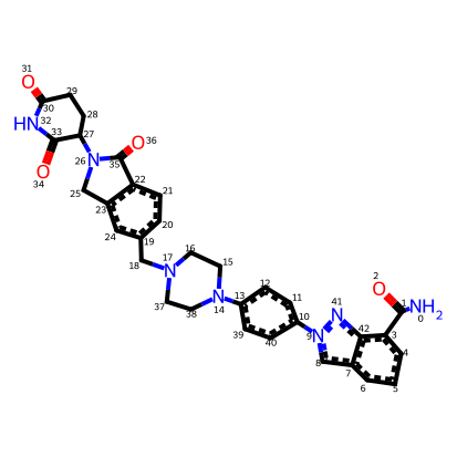 NC(=O)c1cccc2cn(-c3ccc(N4CCN(Cc5ccc6c(c5)CN(C5CCC(=O)NC5=O)C6=O)CC4)cc3)nc12